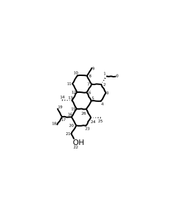 CC[C@@H]1CCC2C3C1C(C)CCC3[C@@H](C)C1C(C(C)C)C(CO)C[C@@H](C)C21